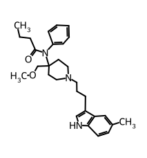 CCCC(=O)N(c1ccccc1)C1(COC)CCN(CCCc2c[nH]c3ccc(C)cc23)CC1